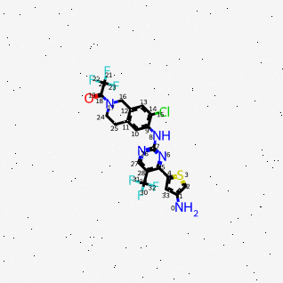 Nc1csc(-c2nc(Nc3cc4c(cc3Cl)CN(C(=O)C(F)(F)F)CC4)ncc2C(F)(F)F)c1